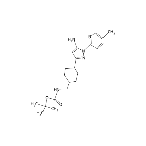 Cc1ccc(-n2nc(C3CCC(CNC(=O)OC(C)(C)C)CC3)cc2N)nc1